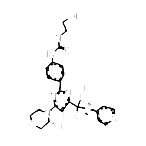 C[C@H]1COCCN1c1cc(C(C)(C)S(=O)(=O)c2ccncc2)nc(-c2ccc(NC(=O)NCCO)cc2)n1